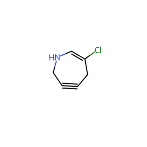 ClC1=CNCC#CC1